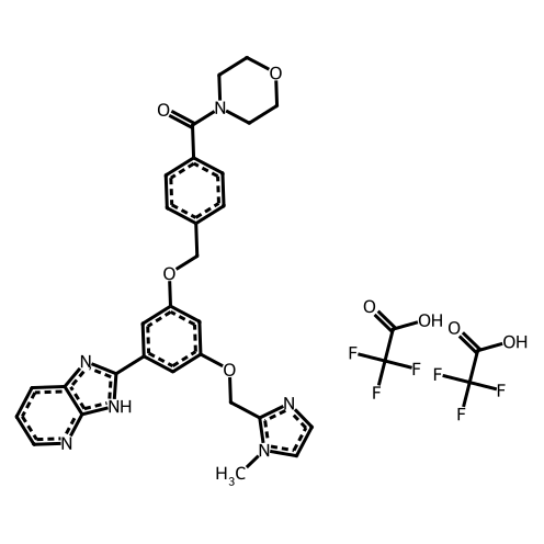 Cn1ccnc1COc1cc(OCc2ccc(C(=O)N3CCOCC3)cc2)cc(-c2nc3cccnc3[nH]2)c1.O=C(O)C(F)(F)F.O=C(O)C(F)(F)F